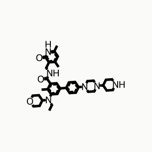 CCN(c1cc(-c2ccc(N3CCN(C4CCNCC4)CC3)cc2)cc(C(=O)NCc2c(C)cc(C)[nH]c2=O)c1C)C1CCOCC1